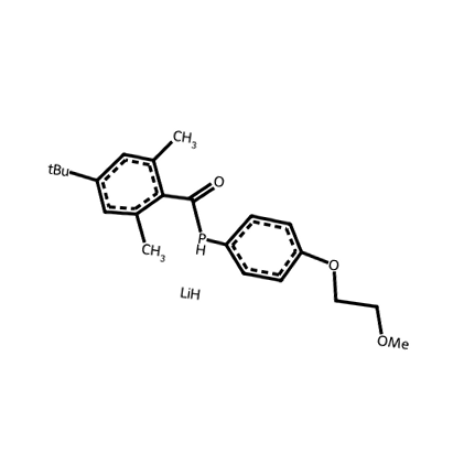 COCCOc1ccc(PC(=O)c2c(C)cc(C(C)(C)C)cc2C)cc1.[LiH]